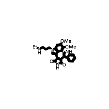 CCNCCCn1cc(C2=C(c3c[nH]c4ccccc34)C(=O)NC2=O)c2cc(OC)c(OC)cc21